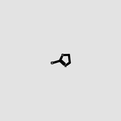 ClC1=NCCO1